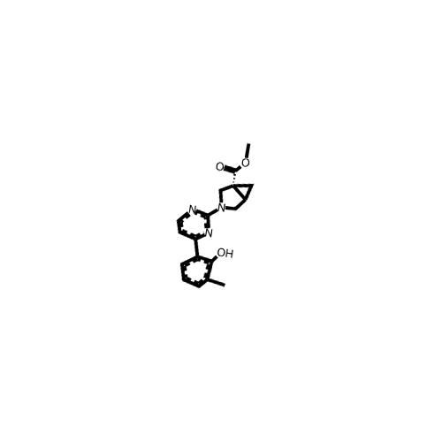 COC(=O)[C@]12CC1CN(c1nccc(-c3cccc(C)c3O)n1)C2